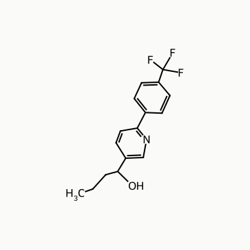 CCCC(O)c1ccc(-c2ccc(C(F)(F)F)cc2)nc1